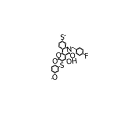 COc1cccc(Sc2c(O)c3c(=O)n(Cc4ccc(F)cc4)c4cc(SC)ccc4c3oc2=O)c1